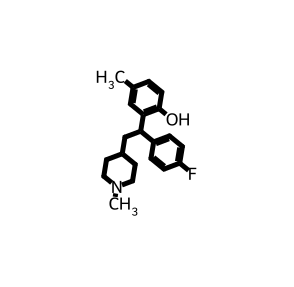 Cc1ccc(O)c(C(CC2CCN(C)CC2)c2ccc(F)cc2)c1